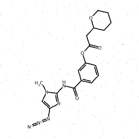 Cn1cc(N=[N+]=[N-])nc1NC(=O)c1cccc(OC(=O)CC2CCCCO2)c1